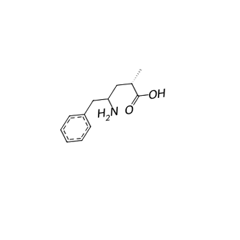 C[C@@H](CC(N)Cc1ccccc1)C(=O)O